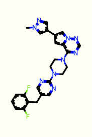 Cn1cc(-c2cc3c(N4CCN(c5ncc(Cc6c(F)cccc6F)cn5)CC4)ncnn3c2)cn1